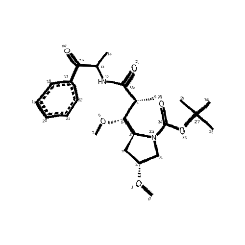 CO[C@@H]1C[C@@H]([C@H](OC)[C@@H](C)C(=O)NC(C)C(=O)c2ccccc2)N(C(=O)OC(C)(C)C)C1